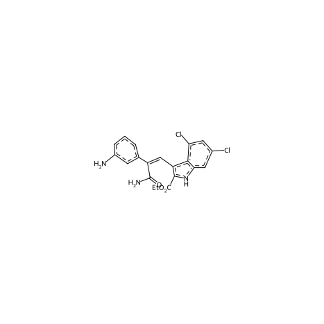 CCOC(=O)c1[nH]c2cc(Cl)cc(Cl)c2c1C=C(C(N)=O)c1cccc(N)c1